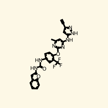 C#Cc1cc(Nc2cc(C)nc(Oc3ccc(NC(=O)Nc4cc5ccccc5o4)cc3C(F)(F)F)n2)[nH]n1